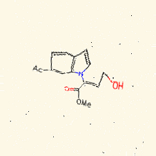 COC(=O)/C(=C/CO)n1ccc2ccc(C(C)=O)cc21